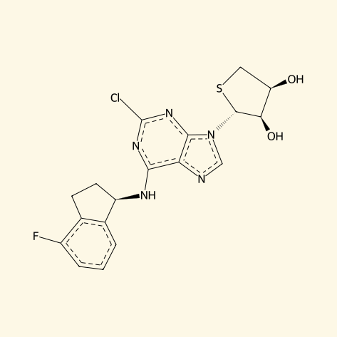 O[C@@H]1[C@H](O)CS[C@H]1n1cnc2c(N[C@@H]3CCc4c(F)cccc43)nc(Cl)nc21